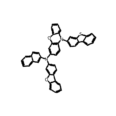 c1ccc2c(c1)Oc1cc(N(c3ccc4ccccc4c3)c3ccc4c(c3)oc3ccccc34)ccc1N2c1ccc2c(c1)sc1ccccc12